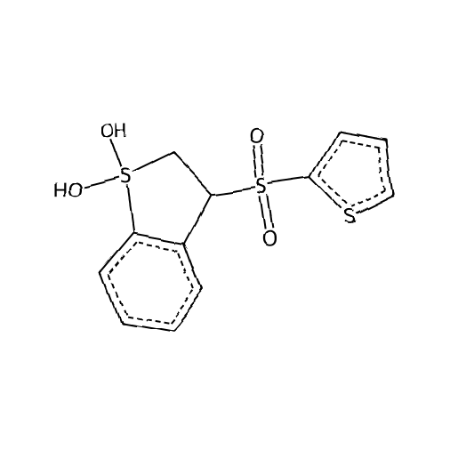 O=S(=O)(c1cccs1)C1CS(O)(O)c2ccccc21